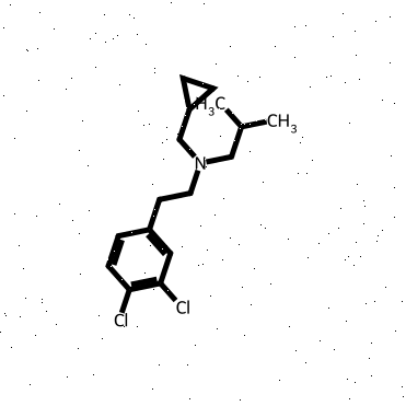 CC(C)CN(CCc1ccc(Cl)c(Cl)c1)CC1CC1